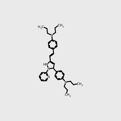 CCCN(CCC)c1ccc(C=CC2=CC(c3ccc(N(CCC)CCC)cc3)N(c3ccccn3)N2)cc1